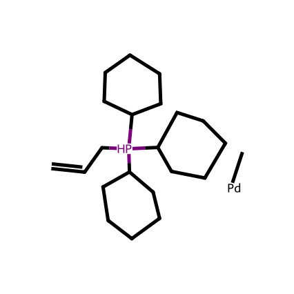 C=CC[PH](C1CCCCC1)(C1CCCCC1)C1CCCCC1.[CH3][Pd]